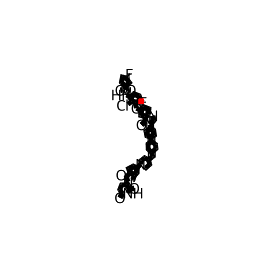 O=C1CCC(N2Cc3cc(N4CCC(CN5CCN(c6ccc(-n7cnc8ccc(Oc9c(F)ccc(NS(=O)(=O)N%10CC[C@@H](F)C%10)c9Cl)cc8c7=O)cc6)CC5)CC4)ccc3C2=O)C(=O)N1